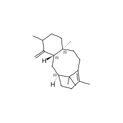 C=C1C(C)CC[C@@]2(C)CCC3=C(C)CC[C@@H](C[C@H]12)C3(C)C